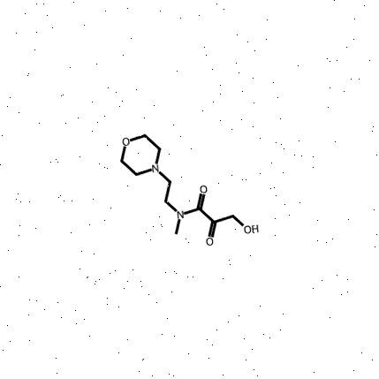 CN(CCN1CCOCC1)C(=O)C(=O)CO